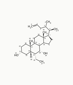 C=CCC(C)[C@@H](C)[C@H]1CCC2C3C(CC[C@@]21C)[C@@]1(C)CC[C@@H](O)C[C@H]1[C@@H](CC)[C@H]3O